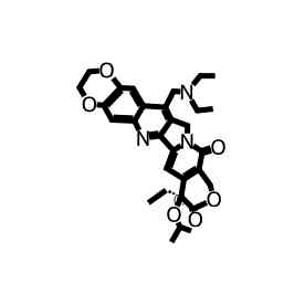 CCN(CC)Cc1c2c(nc3cc4c(cc13)OCCO4)-c1cc3c(c(=O)n1C2)COC(=O)[C@@]3(CC)OC(C)C